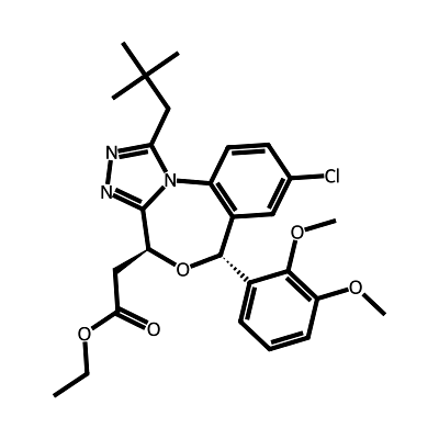 CCOC(=O)C[C@@H]1O[C@@H](c2cccc(OC)c2OC)c2cc(Cl)ccc2-n2c(CC(C)(C)C)nnc21